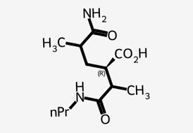 CCCNC(=O)C(C)[C@@H](CC(C)C(N)=O)C(=O)O